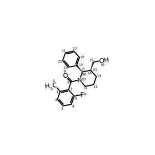 Cc1cccc(F)c1C(=O)N1CCC[C@H](CO)[C@@H]1c1ccccc1